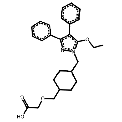 CCOc1c(-c2ccccc2)c(-c2ccccc2)nn1CC1CCC(COCC(=O)O)CC1